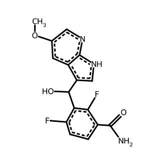 COc1cnc2[nH]cc(C(O)c3c(F)ccc(C(N)=O)c3F)c2c1